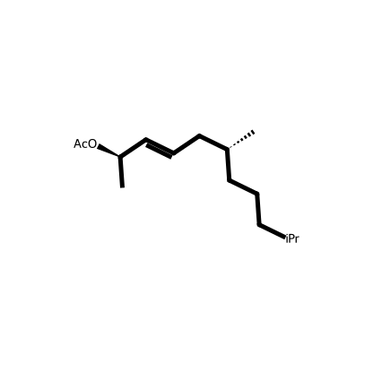 CC(=O)O[C@H](C)/C=C/C[C@H](C)CCCC(C)C